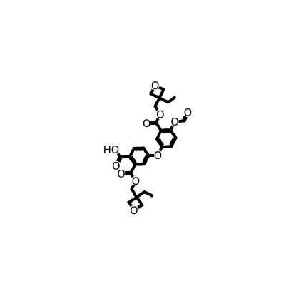 CCC1(COC(=O)c2cc(Oc3ccc(C(=O)O)c(C(=O)OCC4(CC)COC4)c3)ccc2OC=O)COC1